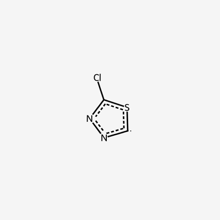 Clc1nn[c]s1